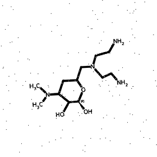 CN(C)C1CC(CN(CCN)CCN)O[C@@H](O)C1O